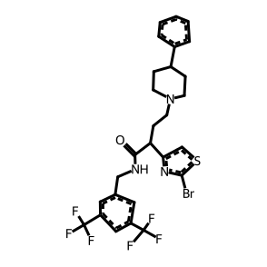 O=C(NCc1cc(C(F)(F)F)cc(C(F)(F)F)c1)C(CCN1CCC(c2ccccc2)CC1)c1csc(Br)n1